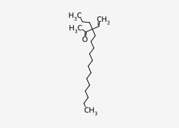 C=CC(CCC)(CCCCCCCCCCCCC)C(C)=O